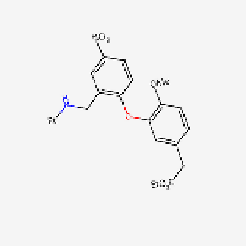 CCNCc1cc([N+](=O)[O-])ccc1Oc1cc(CC(=O)OCC)ccc1OC